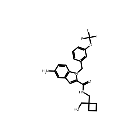 Nc1ccc2c(c1)cc(C(=O)NCC1(CO)CCC1)n2Cc1cccc(OC(F)(F)F)c1